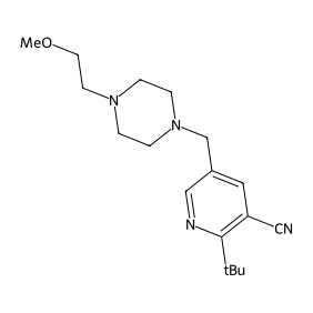 COCCN1CCN(Cc2cnc(C(C)(C)C)c(C#N)c2)CC1